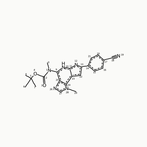 CN(C(=O)OC(C)(C)C)c1[nH]c2nc(-c3ccc(C#N)cc3)cc-2c2c1ncn2C